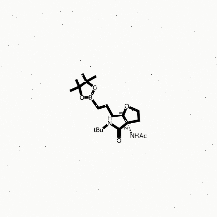 CC(=O)N[C@@]1(C(=O)NC(C)(C)C)CCO[C@@H]1CCCB1OC(C)(C)C(C)(C)O1